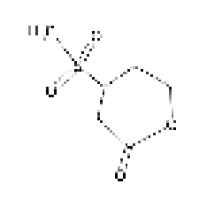 CS(=O)(=O)C1CCOC(=O)C1